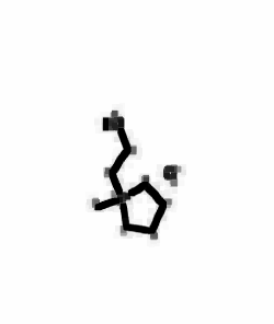 C[P+]1(CCO)CCCC1.[Cl-]